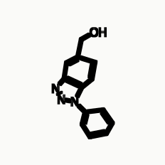 OCc1ccc2c(c1)nnn2-c1ccccc1